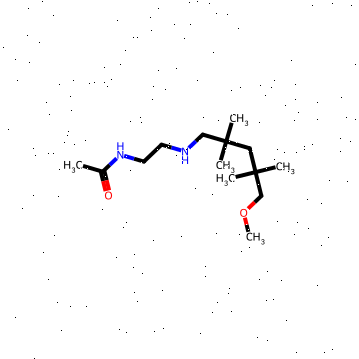 COCC(C)(C)CC(C)(C)CNCCNC(C)=O